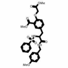 COC(=O)COc1ccc(CC(NS(=O)(=O)c2ccccc2)C(=O)NCc2ccc(OC)cc2)cc1C(=O)OC